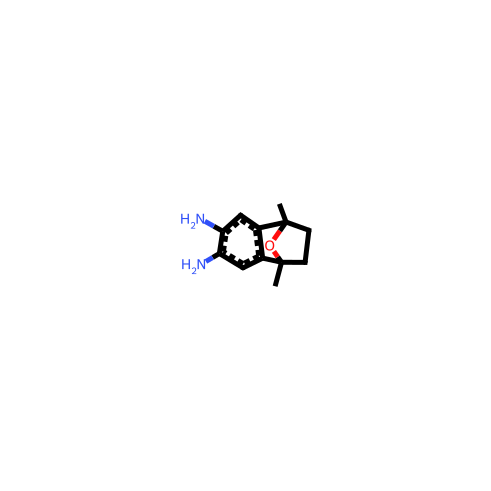 CC12CCC(C)(O1)c1cc(N)c(N)cc12